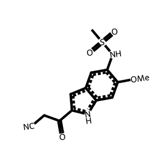 COc1cc2[nH]c(C(=O)CC#N)cc2cc1NS(C)(=O)=O